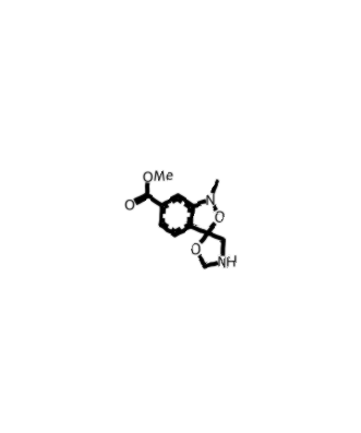 COC(=O)c1ccc2c(c1)N(C)OC21CNCO1